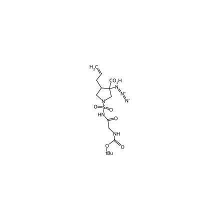 C=CCC1CN(S(=O)(=O)NC(=O)CNC(=O)OC(C)(C)C)CC1(N=[N+]=[N-])C(=O)O